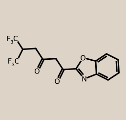 O=C(CC(=O)c1nc2ccccc2o1)CC(C(F)(F)F)C(F)(F)F